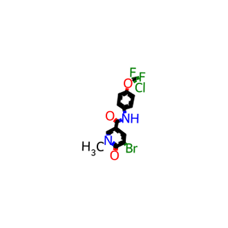 Cn1cc(C(=O)Nc2ccc(OC(F)(F)Cl)cc2)cc(Br)c1=O